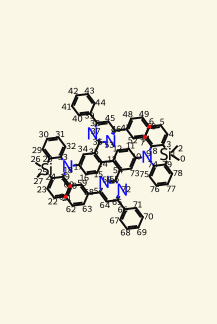 C[Si]1(C)c2ccccc2N(c2ccc(-c3ccc(N4c5ccccc5[Si](C)(C)c5ccccc54)cc3-c3nc(-c4ccccc4)cc(-c4ccccc4)n3)c(-c3nc(-c4ccccc4)cc(-c4ccccc4)n3)c2)c2ccccc21